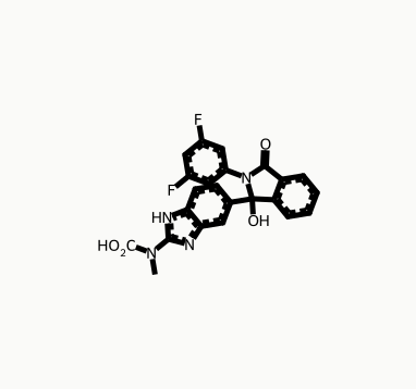 CN(C(=O)O)c1nc2cc(C3(O)c4ccccc4C(=O)N3c3cc(F)cc(F)c3)ccc2[nH]1